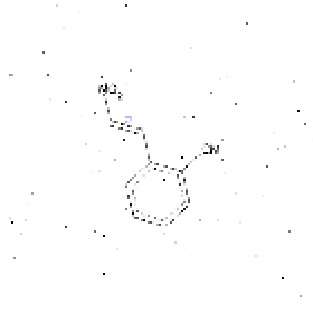 N#Cc1ccccc1/C=C/[N+](=O)[O-]